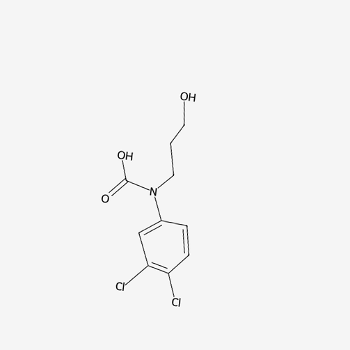 O=C(O)N(CCCO)c1ccc(Cl)c(Cl)c1